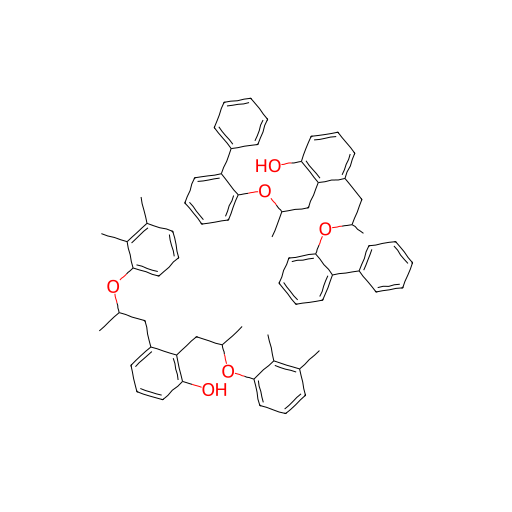 CC(Cc1cccc(O)c1CC(C)Oc1ccccc1-c1ccccc1)Oc1ccccc1-c1ccccc1.Cc1cccc(OC(C)Cc2cccc(O)c2CC(C)Oc2cccc(C)c2C)c1C